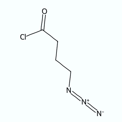 [N-]=[N+]=NCCCC(=O)Cl